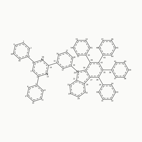 c1ccc(-c2cc(-c3ccccc3)nc(-c3cccc(-n4c5ccccc5c5c(-c6ccccc6)c(-c6ccccc6)c(-c6ccccc6)c(-c6ccccc6)c54)c3)n2)cc1